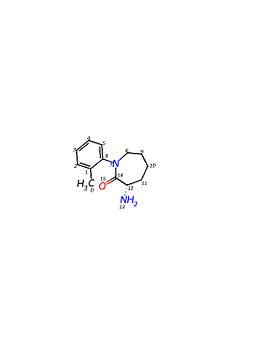 Cc1ccccc1N1CCCC[C@H](N)C1=O